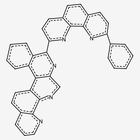 c1ccc(-c2ccc3ccc4ccc(-c5nc6cnc7c(ccc8cccnc87)c6c6ccccc56)nc4c3n2)cc1